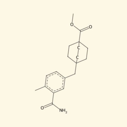 COC(=O)C12CCC(Cc3ccc(C)c(C(N)=O)c3)(CC1)CC2